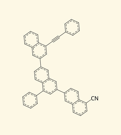 N#Cc1cccc2cc(-c3cc(-c4ccccc4)c4ccc(-c5cc(C#Cc6ccccc6)c6ccccc6c5)cc4c3)ccc12